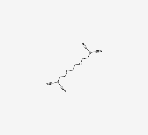 N#CN(C#N)CCOCCOCCN(C#N)C#N